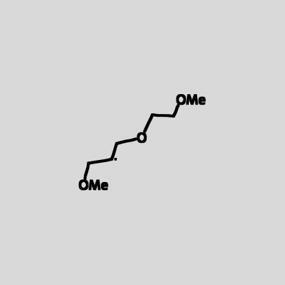 COC[CH]COCCOC